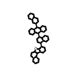 c1ccc2cc(-c3c4ccccc4c(-c4ccc(-c5cccc6c5oc5ccc7ccccc7c56)c5ccccc45)c4ccccc34)ccc2c1